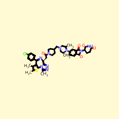 Cc1sc2c(c1C)C(c1ccc(Cl)cc1)=N[C@@H](CC(=O)N1CCC(CN3CC(C)N(c4ccc5c(c4)C(=O)N(C4CCC(=O)NC4=O)C5=O)C(C)C3)CC1)c1nnc(C)n1-2